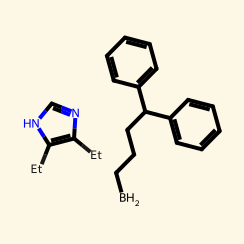 BCCCC(c1ccccc1)c1ccccc1.CCc1nc[nH]c1CC